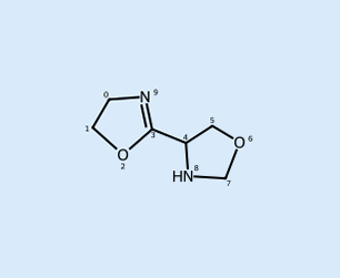 C1COC(C2COCN2)=N1